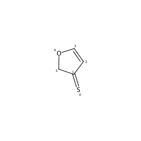 S=C1C=COC1